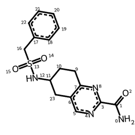 NC(=O)c1ncc2c(n1)CCC(NS(=O)(=O)Cc1ccccc1)C2